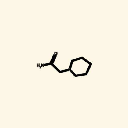 NC(=O)CN1CCCCC1